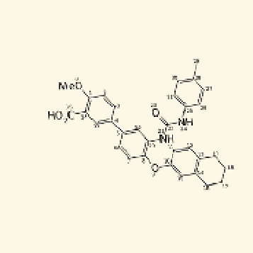 COc1ccc(-c2ccc(Oc3ccc4c(c3)CCCC4)c(NC(=O)Nc3ccc(C)cc3)c2)cc1C(=O)O